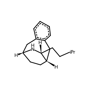 CC(C)CC[C@H]1N[C@@H]2CC[C@H]1Cc1ccccc1C2